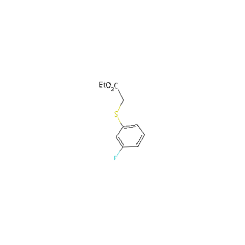 CCOC(=O)CSc1cccc(F)c1